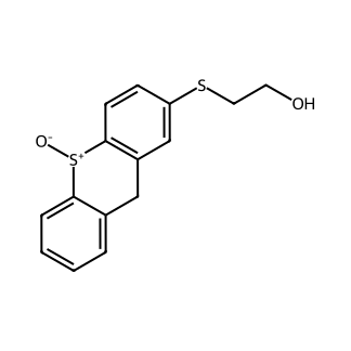 [O-][S+]1c2ccccc2Cc2cc(SCCO)ccc21